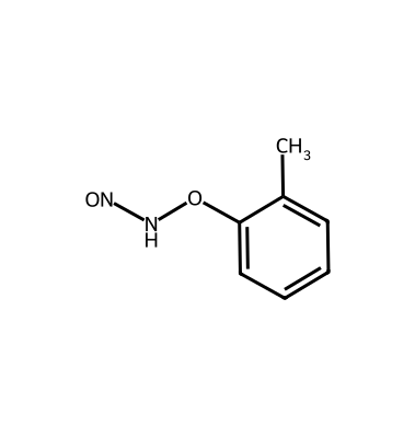 Cc1ccccc1ONN=O